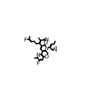 CC/C=C(\C=N/C)n1c2c(cc(/C(CC/C=C(\C)F)=C(/C)C#N)c1=O)-c1nc(C)c(F)cc1OC2